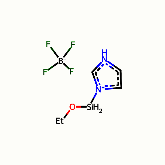 CCO[SiH2][n+]1cc[nH]c1.F[B-](F)(F)F